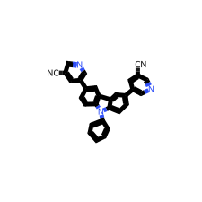 N#Cc1cncc(-c2ccc3c(c2)c2cc(-c4cncc(C#N)c4)ccc2n3-c2ccccc2)c1